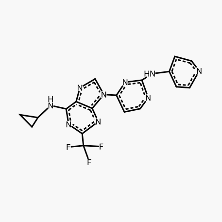 FC(F)(F)c1nc(NC2CC2)c2ncn(-c3ccnc(Nc4ccncc4)n3)c2n1